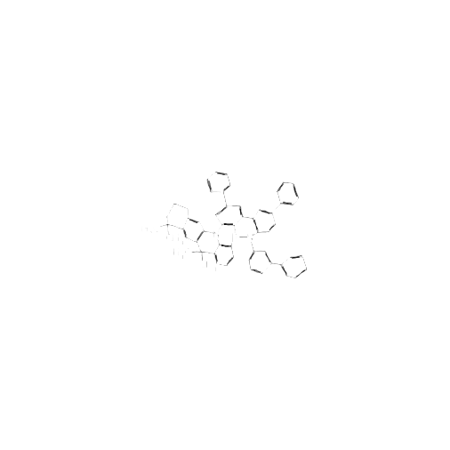 CC1(C)CCCc2cc3c(cc21)C(C)(C)c1cccc2c1N3c1cc(-c3ccccc3)cc3c1B2N(c1cccc(-c2ccccc2)c1)c1ccc(-c2ccccc2)cc1-3